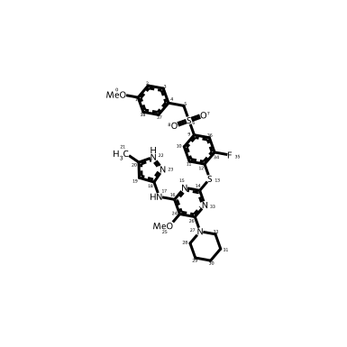 COc1ccc(CS(=O)(=O)c2ccc(Sc3nc(Nc4cc(C)[nH]n4)c(OC)c(N4CCCCC4)n3)c(F)c2)cc1